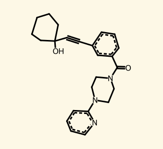 O=C(c1cccc(C#CC2(O)CCCCC2)c1)N1CCN(c2ccccn2)CC1